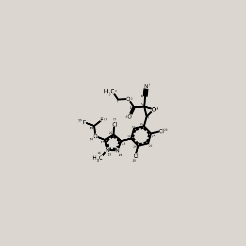 CCOC(=O)C1(C#N)OC1c1cc(-c2nn(C)c(OC(F)F)c2Cl)c(Cl)cc1Cl